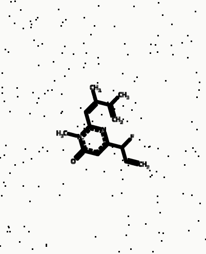 C=CC(F)c1cc(=O)n(C)c(/C=C(/C)C(=C)C)n1